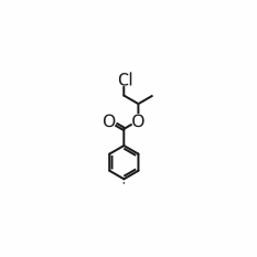 CC(CCl)OC(=O)c1cc[c]cc1